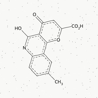 Cc1ccc2nc(O)c3c(=O)cc(C(=O)O)oc3c2c1